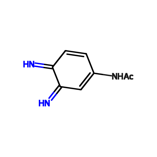 CC(=O)NC1=CC(=N)C(=N)C=C1